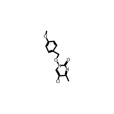 COc1ccc(COn2cc(Cl)c(C)nc2=O)cc1